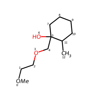 COCCOCC1(O)CCCCC1C